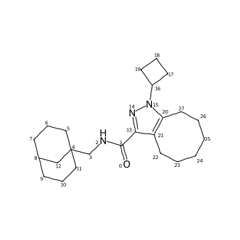 O=C(NCC12CCCC(CCC1)C2)c1nn(C2CCC2)c2c1CCCCCC2